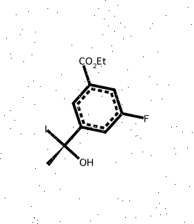 CCOC(=O)c1cc(F)cc([C@](C)(O)I)c1